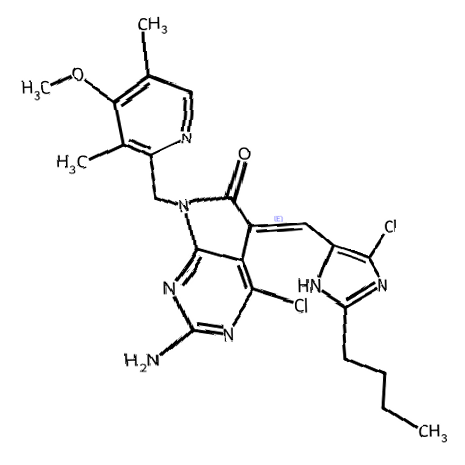 CCCCc1nc(Cl)c(/C=C2/C(=O)N(Cc3ncc(C)c(OC)c3C)c3nc(N)nc(Cl)c32)[nH]1